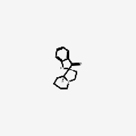 O=C1c2ccccc2N[C@]12CCN1CCCC[C@H]12